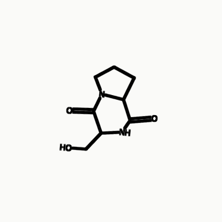 O=C1NC(CO)C(=O)N2CCCC12